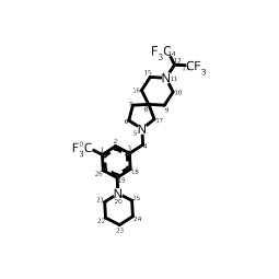 FC(F)(F)c1cc(CN2CCC3(CCN(C(C(F)(F)F)C(F)(F)F)CC3)C2)cc(N2CCCCC2)c1